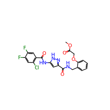 COC(=O)COc1ccccc1CNC(=O)c1cc(NC(=O)c2cc(F)c(F)cc2Cl)[nH]n1